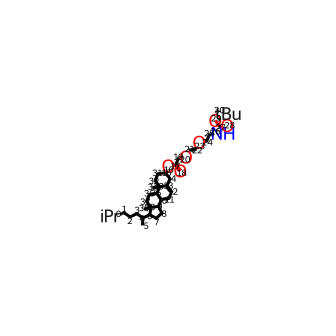 CC(C)CCCC(C)C1CCC2C3CC=C4CC(OC(=O)COCCOCCNC(=O)OC(C)(C)C)CCC4(C)C3CCC12C